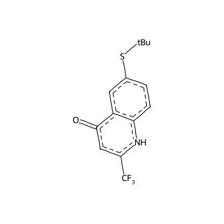 CC(C)(C)Sc1ccc2[nH]c(C(F)(F)F)cc(=O)c2c1